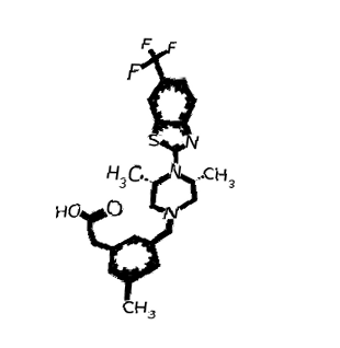 Cc1cc(CC(=O)O)cc(CN2C[C@@H](C)N(c3nc4ccc(C(F)(F)F)cc4s3)[C@@H](C)C2)c1